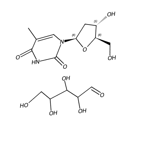 Cc1cn([C@H]2C[C@H](O)[C@@H](CO)O2)c(=O)[nH]c1=O.O=CC(O)C(O)C(O)CO